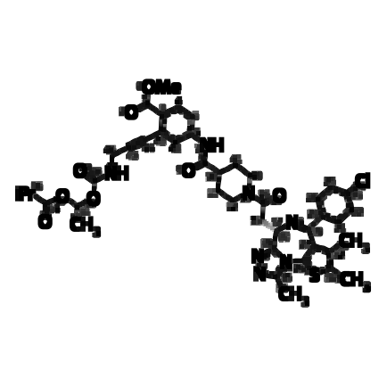 COC(=O)c1ccc(NC(=O)C2CCN(C(=O)C[C@@H]3N=C(c4ccc(Cl)cc4)c4c(sc(C)c4C)-n4c(C)nnc43)CC2)cc1C#CCNC(=O)OC(C)OC(=O)C(C)C